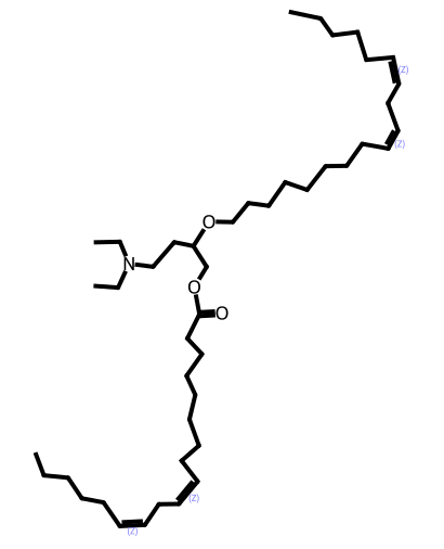 CCCCC/C=C\C/C=C\CCCCCCCCOC(CCN(CC)CC)COC(=O)CCCCCCC/C=C\C/C=C\CCCCC